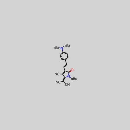 CCCCN1C(=O)C(/C=C/c2ccc(N(CCCC)CCCC)cc2)=C(C#N)C1=C(C#N)C#N